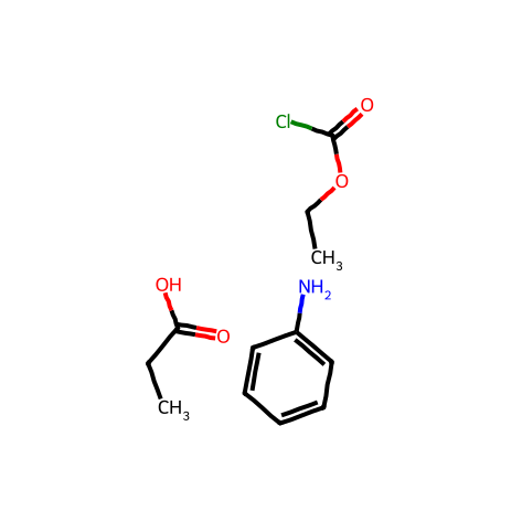 CCC(=O)O.CCOC(=O)Cl.Nc1ccccc1